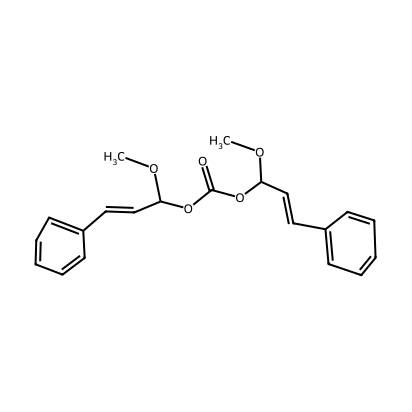 COC(/C=C/c1ccccc1)OC(=O)OC(/C=C/c1ccccc1)OC